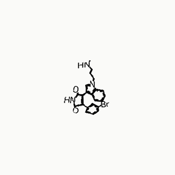 CNCCCn1cc(C2=C(c3cccc(Br)c3)C(=O)NC2=O)c2ccccc21